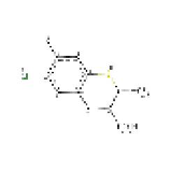 Cc1cc2c(cc1Cl)CC(C(=O)O)C(C(F)(F)F)S2